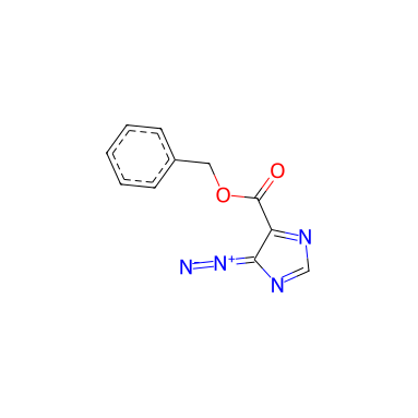 [N-]=[N+]=C1N=CN=C1C(=O)OCc1ccccc1